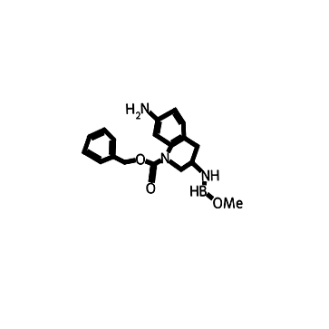 COBNC1Cc2ccc(N)cc2N(C(=O)OCc2ccccc2)C1